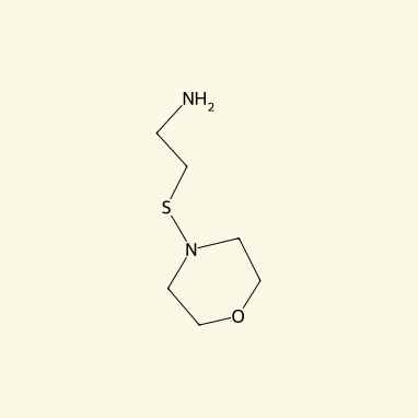 NCCSN1CCOCC1